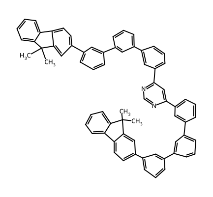 CC1(C)c2ccccc2-c2ccc(-c3cccc(-c4cccc(-c5cccc(-c6cc(-c7cccc(-c8cccc(-c9cccc(-c%10ccc%11c(c%10)C(C)(C)c%10ccccc%10-%11)c9)c8)c7)ncn6)c5)c4)c3)cc21